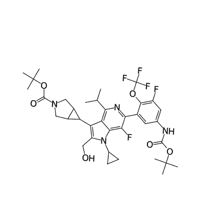 CC(C)c1nc(-c2cc(NC(=O)OC(C)(C)C)cc(F)c2OC(F)(F)F)c(F)c2c1c(C1C3CN(C(=O)OC(C)(C)C)CC31)c(CO)n2C1CC1